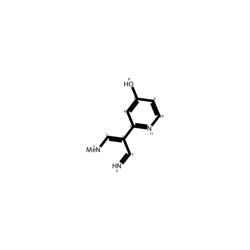 CN/C=C(\C=N)c1cc(O)ccn1